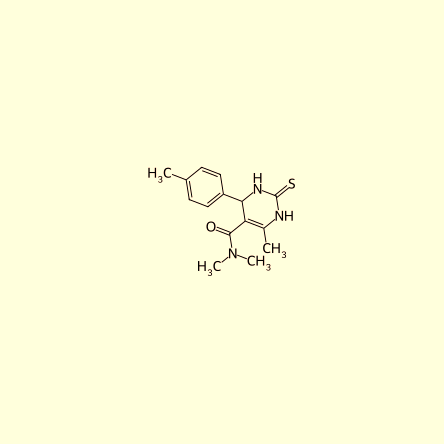 CC1=C(C(=O)N(C)C)C(c2ccc(C)cc2)NC(=S)N1